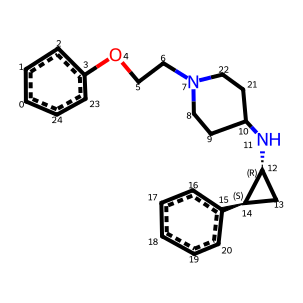 c1ccc(OCCN2CCC(N[C@@H]3C[C@H]3c3ccccc3)CC2)cc1